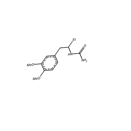 CCC(Cc1ccc(OC)c(OC)c1)NC(N)=O